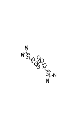 N#CC(C#N)=c1cc/c(=C\c2ccc(C3=C4C(=O)OC(c5ccc(/C=c6\ccc(=C(C#N)C#N)s6)s5)=C4C(=O)O3)s2)s1